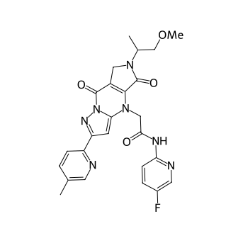 COCC(C)N1Cc2c(n(CC(=O)Nc3ccc(F)cn3)c3cc(-c4ccc(C)cn4)nn3c2=O)C1=O